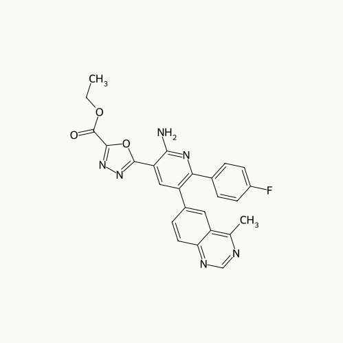 CCOC(=O)c1nnc(-c2cc(-c3ccc4ncnc(C)c4c3)c(-c3ccc(F)cc3)nc2N)o1